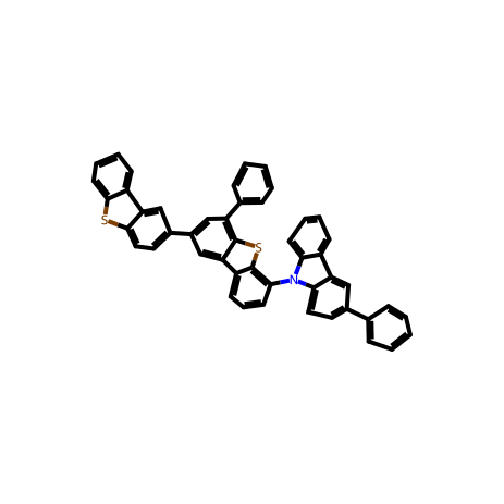 c1ccc(-c2ccc3c(c2)c2ccccc2n3-c2cccc3c2sc2c(-c4ccccc4)cc(-c4ccc5sc6ccccc6c5c4)cc23)cc1